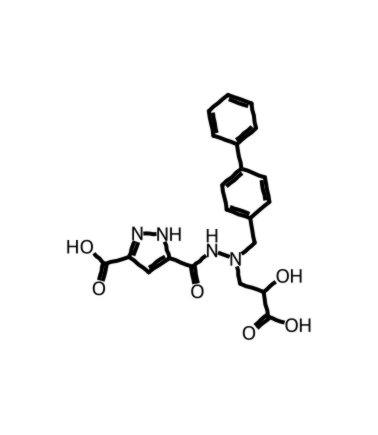 O=C(O)c1cc(C(=O)NN(Cc2ccc(-c3ccccc3)cc2)CC(O)C(=O)O)[nH]n1